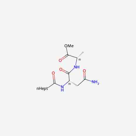 CCCCCCCC(=O)N[C@@H](CC(N)=O)C(=O)N[C@@H](C)C(=O)OC